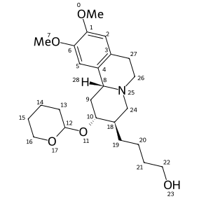 COc1cc2c(cc1OC)[C@H]1C[C@@H](OC3CCCCO3)[C@H](CCCCO)CN1CC2